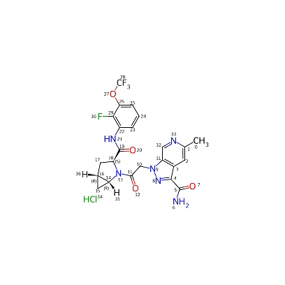 Cc1cc2c(C(N)=O)nn(CC(=O)N3[C@@H]4C[C@@H]4C[C@H]3C(=O)Nc3cccc(OC(F)(F)F)c3F)c2cn1.Cl